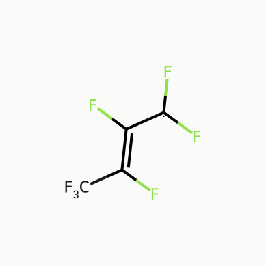 F[C](F)/C(F)=C(\F)C(F)(F)F